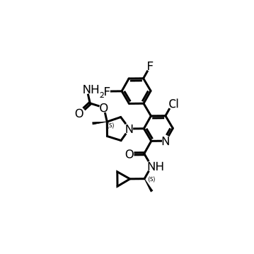 C[C@H](NC(=O)c1ncc(Cl)c(-c2cc(F)cc(F)c2)c1N1CC[C@](C)(OC(N)=O)C1)C1CC1